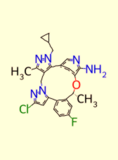 Cc1nn(CC2CC2)c2c1Cn1nc(Cl)cc1-c1ccc(F)cc1[C@@H](C)Oc1cc-2cnc1N